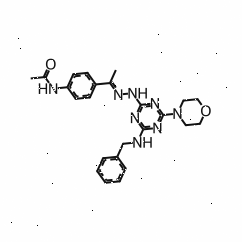 CC(=O)Nc1ccc(/C(C)=N/Nc2nc(NCc3ccccc3)nc(N3CCOCC3)n2)cc1